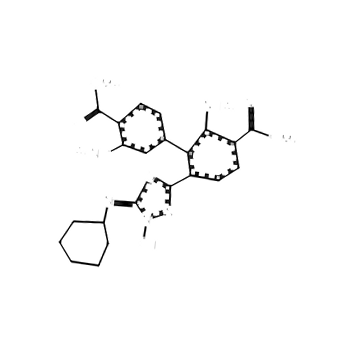 COC(=O)c1ccc(-c2c(-c3nn(C)c(=NC4CCCCC4)s3)ccc(C(=O)OC)c2NC(C)=O)cc1NC(C)=O